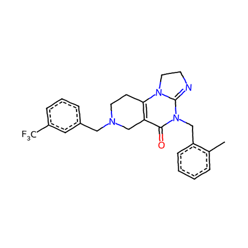 Cc1ccccc1CN1C(=O)C2=C(CCN(Cc3cccc(C(F)(F)F)c3)C2)N2CCN=C12